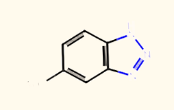 CC(=O)Oc1ccc2[nH]nnc2c1